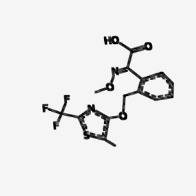 CO/N=C(/C(=O)O)c1ccccc1COc1nc(C(F)(F)F)sc1C